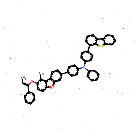 C/C=C(\Oc1ccc2oc3cc(-c4ccc(N(c5ccccc5)c5ccc(-c6cccc7c6sc6ccccc67)cc5)cc4)ccc3c2c1C)c1ccccc1